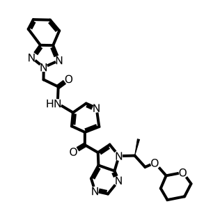 C[C@@H](COC1CCCCO1)n1cc(C(=O)c2cncc(NC(=O)Cn3nc4ccccc4n3)c2)c2cncnc21